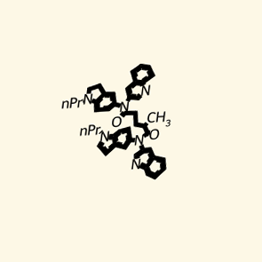 CCCN1CCc2cc(N(C(=O)CCC(C)C(=O)N(c3cnc4ccccc4c3)c3ccc4c(ccn4CCC)c3)c3cnc4ccccc4c3)ccc21